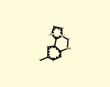 Cc1ccc2c(c1)-c1nccn1CN2